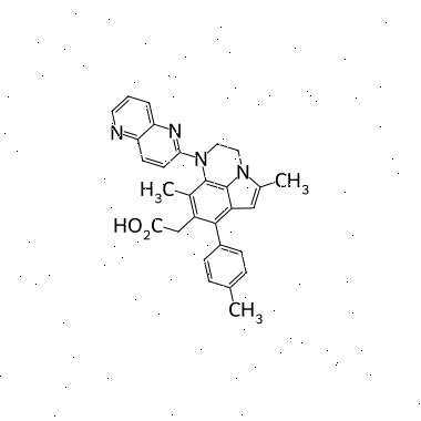 Cc1ccc(-c2c(CC(=O)O)c(C)c3c4c2cc(C)n4CCN3c2ccc3ncccc3n2)cc1